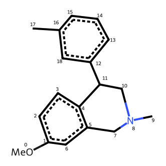 COc1ccc2c(c1)CN(C)CC2c1cccc(C)c1